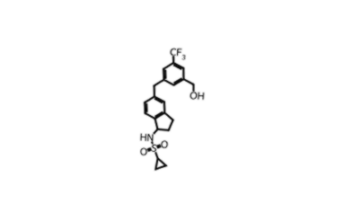 O=S(=O)(NC1CCc2cc(Cc3cc(CO)cc(C(F)(F)F)c3)ccc21)C1CC1